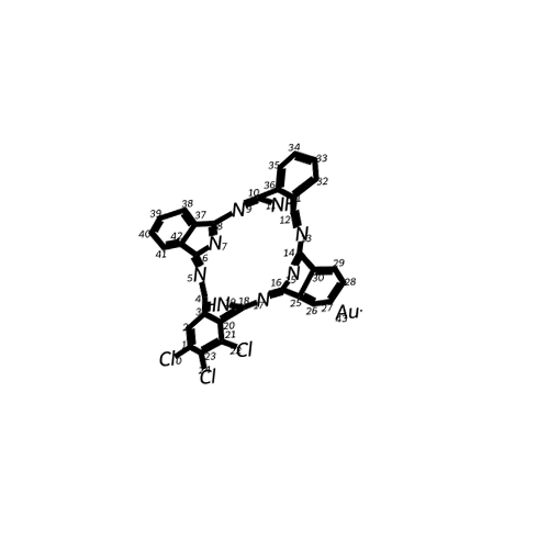 Clc1cc2c3nc4nc(nc5[nH]c(nc6nc(nc([nH]3)c2c(Cl)c1Cl)-c1ccccc1-6)c1ccccc51)-c1ccccc1-4.[Au]